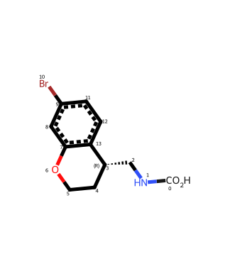 O=C(O)NC[C@@H]1CCOc2cc(Br)ccc21